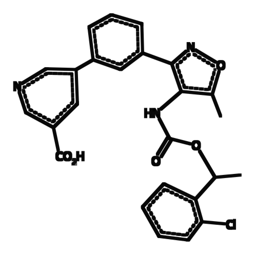 Cc1onc(-c2cccc(-c3cncc(C(=O)O)c3)c2)c1NC(=O)OC(C)c1ccccc1Cl